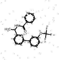 CC(NC(=O)c1cccnc1)c1cccc(-c2cccc(OC(F)(F)F)c2)n1